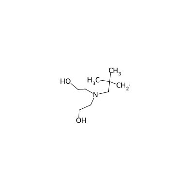 [CH2]C(C)(C)CN(CCO)CCO